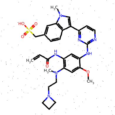 C=CC(=O)Nc1cc(Nc2nccc(-c3cn(C)c4cc(CS(=O)(=O)O)ccc34)n2)c(OC)cc1N(C)CCN1CCC1